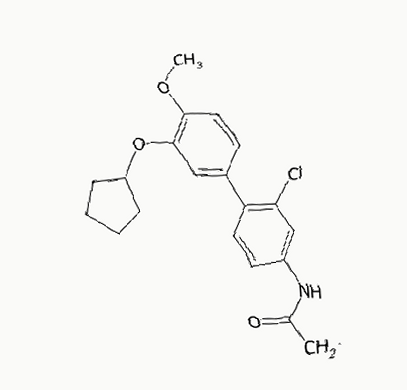 [CH2]C(=O)Nc1ccc(-c2ccc(OC)c(OC3CCCC3)c2)c(Cl)c1